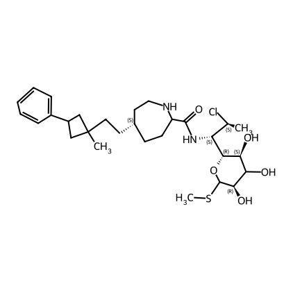 CSC1O[C@H]([C@H](NC(=O)C2CC[C@H](CCC3(C)CC(c4ccccc4)C3)CCN2)[C@H](C)Cl)[C@@H](O)C(O)[C@H]1O